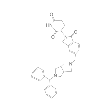 O=C1CCC(N2Cc3cc(CN4CC5CN(C(c6ccccc6)c6ccccc6)CC5C4)ccc3C2=O)C(=O)N1